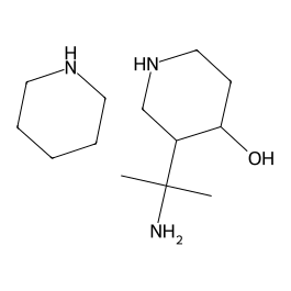 C1CCNCC1.CC(C)(N)C1CNCCC1O